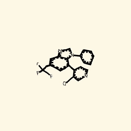 FC(F)(F)c1cc(-c2ccncc2Cl)c2c(c1)ncn2-c1ccccc1